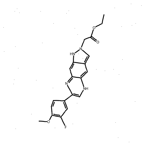 CCOC(=O)CN1C=c2cc3c(cc2N1)=NC(c1ccc(OC)c(F)c1)=CN3